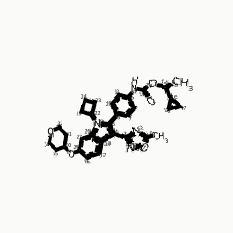 Cc1nc(-c2c(-c3ccc(NC(=O)OC(C)C4CC4)cc3)n(C3CCC3)c3cc(OC4CCOCC4)ccc23)no1